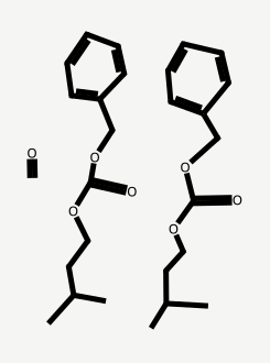 C=O.CC(C)CCOC(=O)OCc1ccccc1.CC(C)CCOC(=O)OCc1ccccc1